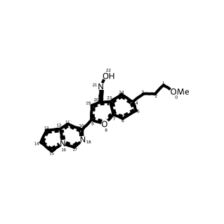 COCCCc1ccc2oc(-c3cc4cccn4cn3)c/c(=N/O)c2c1